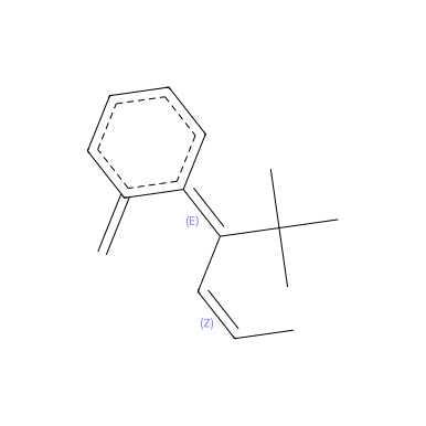 C=c1cccc/c1=C(/C=C\C)C(C)(C)C